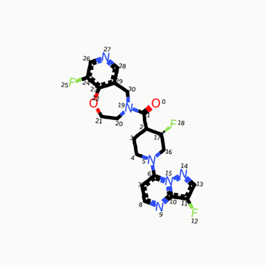 O=C(C1CCN(c2ccnc3c(F)cnn23)C[C@@H]1F)N1CCOc2c(F)cncc2C1